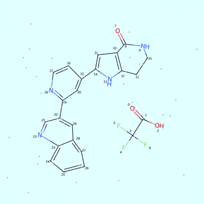 O=C(O)C(F)(F)F.O=C1NCCc2[nH]c(-c3ccnc(-c4cnc5ccccc5c4)c3)cc21